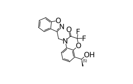 C[C@H](O)c1cccc2c1OC(F)(F)C(=O)N2Cc1noc2ccccc12